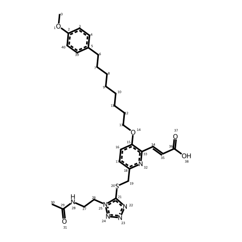 COc1ccc(CCCCCCCCOc2ccc(CSc3nnnn3CCNC(C)=O)nc2C=CC(=O)O)cc1